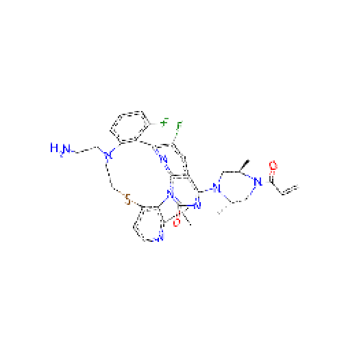 C=CC(=O)N1C[C@H](C)N(c2nc(=O)n3c4nc(c(F)cc24)-c2c(F)cccc2N(CCN)CCSc2ccnc(C(C)C)c2-3)C[C@H]1C